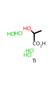 CC(O)C(=O)O.Cl.Cl.Cl.Cl.[Ti]